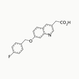 O=C(O)Cc1cnc2cc(OCc3ccc(F)cc3)ccc2c1